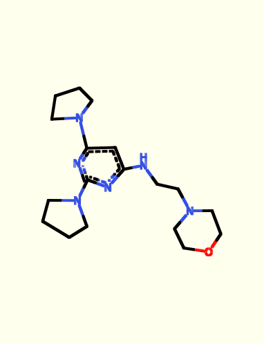 c1c(NCCN2CCOCC2)nc(N2CCCC2)nc1N1CCCC1